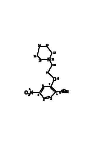 CC(C)(C)c1ccc([N+](=O)[O-])cc1OCCN1CCCCC1